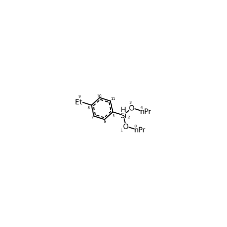 CCCO[SiH](OCCC)c1ccc(CC)cc1